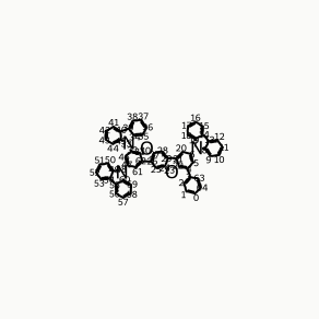 c1ccc(-c2cc(-n3c4ccccc4c4ccccc43)cc3c2oc2cc4c(cc23)oc2c(-n3c5ccccc5c5ccccc53)cc(-n3c5ccccc5c5ccccc53)cc24)cc1